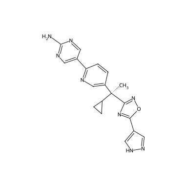 C[C@](c1ccc(-c2cnc(N)nc2)nc1)(c1noc(-c2cn[nH]c2)n1)C1CC1